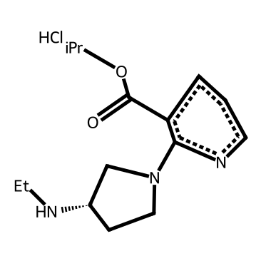 CCN[C@H]1CCN(c2ncccc2C(=O)OC(C)C)C1.Cl